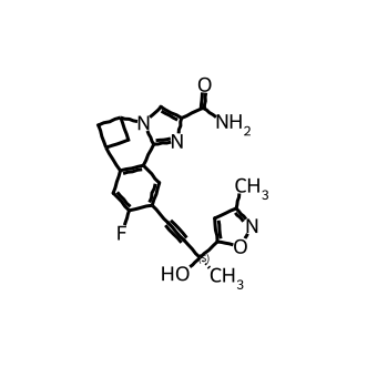 Cc1cc([C@@](C)(O)C#Cc2cc3c(cc2F)C2CC(C2)n2cc(C(N)=O)nc2-3)on1